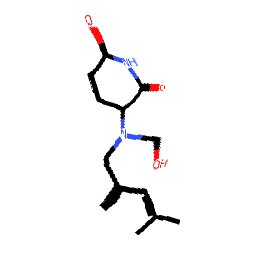 C=C(C=C(C)C)CN(CO)C1CCC(=O)NC1=O